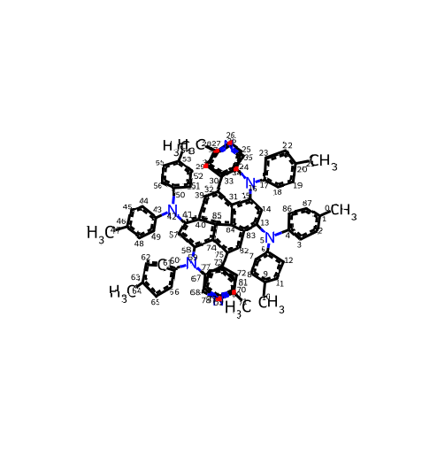 Cc1ccc(N(c2ccc(C)cc2)c2cc(N(c3ccc(C)cc3)c3ccc(C)cc3)c3c(-c4ccncc4)cc4c(N(c5ccc(C)cc5)c5ccc(C)cc5)cc(N(c5ccc(C)cc5)c5ccc(C)cc5)c5c(-c6ccncc6)cc2c3c45)cc1